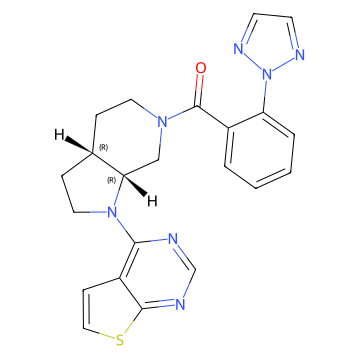 O=C(c1ccccc1-n1nccn1)N1CC[C@H]2CCN(c3ncnc4sccc34)[C@H]2C1